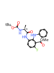 COC(=O)c1c(F)ccc(NC(=O)[C@H](C)NC(=O)OC(C)(C)C)c1Nc1ccccc1